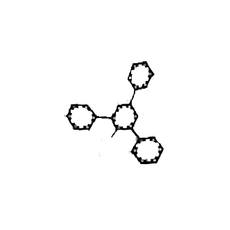 Sc1c(-c2ccccc2)cc(-c2ccccc2)cc1-c1ccccc1.[K]